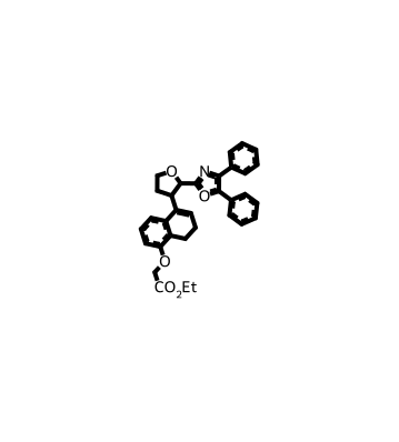 CCOC(=O)COc1cccc2c1CCC=C2C1CCOC1c1nc(-c2ccccc2)c(-c2ccccc2)o1